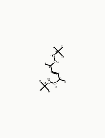 CC(C=CC(C)OOC(C)(C)C)OOC(C)(C)C